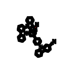 N#Cc1cc(-c2ccc(-n3c4ccccc4c4ccc(C#N)cc43)cc2)cc(-n2c3ccccc3c3cccc(-n4c5ccccc5c5ccccc54)c32)c1